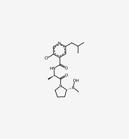 CB(O)[C@@H]1CCCN1C(=O)[C@@H](C)NC(=O)c1cc(CC(C)C)ncc1Cl